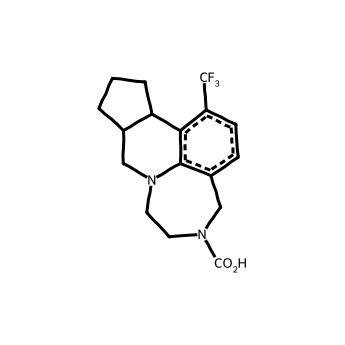 O=C(O)N1CCN2CC3CCCC3c3c(C(F)(F)F)ccc(c32)C1